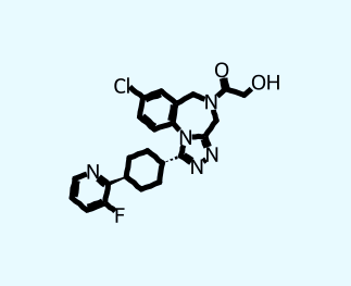 O=C(CO)N1Cc2cc(Cl)ccc2-n2c(nnc2[C@H]2CC[C@H](c3ncccc3F)CC2)C1